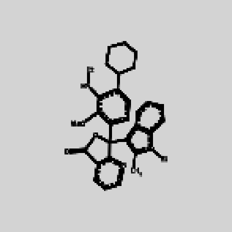 CCNc1c(C2CCCCC2)ccc(C2(c3c(C)n(CC)c4ccccc34)OC(=O)c3cccnc32)c1OC